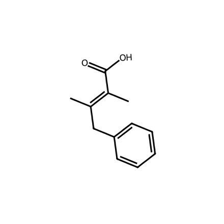 CC(Cc1ccccc1)=C(C)C(=O)O